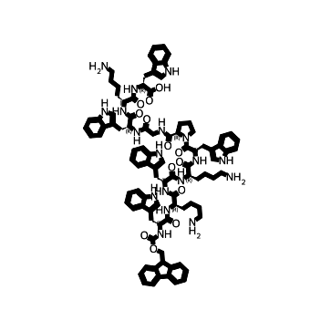 NCCCC[C@@H](NC(=O)[C@@H](Cc1c[nH]c2ccccc12)NC(=O)CNC(=O)[C@H]1CCCN1C(=O)[C@@H](Cc1c[nH]c2ccccc12)NC(=O)[C@@H](CCCCN)NC(=O)[C@@H](Cc1c[nH]c2ccccc12)NC(=O)[C@@H](CCCCN)NC(=O)[C@@H](Cc1c[nH]c2ccccc12)NC(=O)OCC1c2ccccc2-c2ccccc21)C(=O)N[C@H](Cc1c[nH]c2ccccc12)C(=O)O